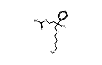 CCOCCOCC(C)(CCOC(=O)O)c1ccccc1